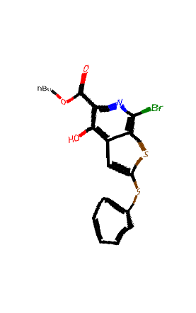 CCCCOC(=O)c1nc(Br)c2sc(Sc3ccccc3)cc2c1O